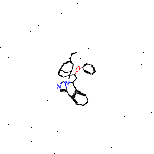 CCC1CC2CCC(C)(C(CC3c4ccccc4-c4cncn43)Oc3ccccc3)C(C1)C2